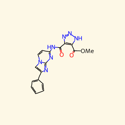 COC(=O)c1[nH]nnc1C(=O)Nc1ccn2cc(-c3ccccc3)nc2n1